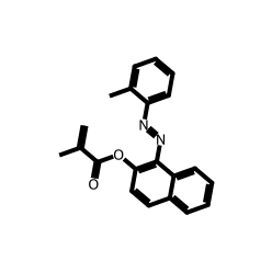 C=C(C)C(=O)Oc1ccc2ccccc2c1N=Nc1ccccc1C